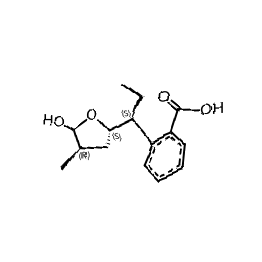 CC[C@@H](c1ccccc1C(=O)O)[C@@H]1C[C@@H](C)C(O)O1